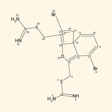 N=C(N)SCC1=C2C(Br)=CC=CC23CC=C(Br)C(CSC(=N)N)=C3O1